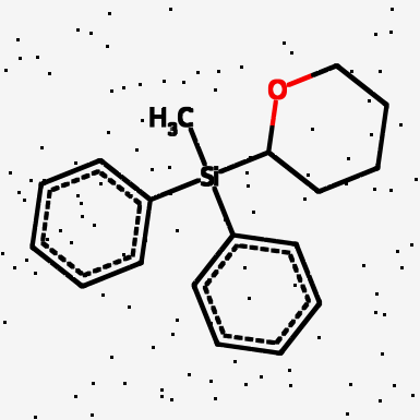 C[Si](c1ccccc1)(c1ccccc1)C1CCCCO1